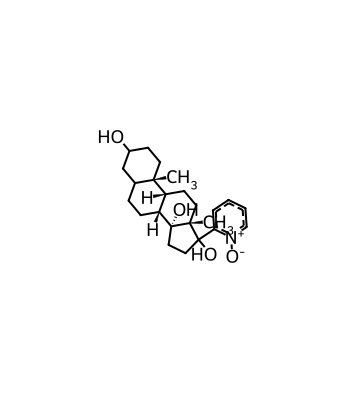 C[C@]12CCC(O)CC1CC[C@@H]1[C@H]2CC[C@]2(C)C(O)(c3cccc[n+]3[O-])CC[C@@]12O